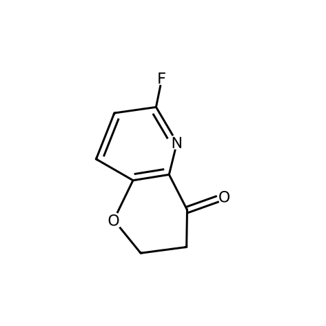 O=C1CCOc2ccc(F)nc21